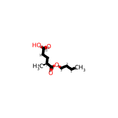 CCCCOC(=O)[C@@H](C)CCC(=O)O